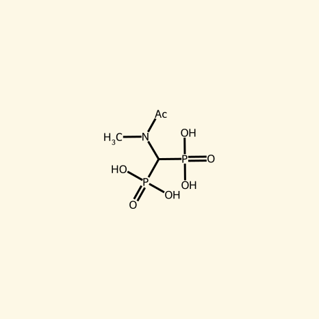 CC(=O)N(C)C(P(=O)(O)O)P(=O)(O)O